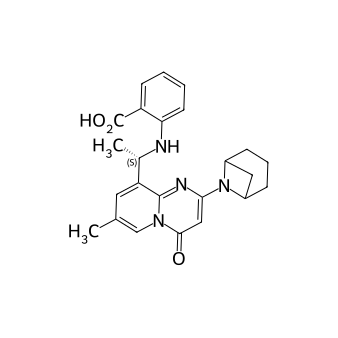 Cc1cc([C@H](C)Nc2ccccc2C(=O)O)c2nc(N3C4CCCC3C4)cc(=O)n2c1